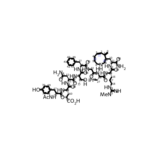 C=C1/C=C\C=C/CN/C=C\1C[C@H](NC(=O)[C@H](CCCNC(=N)NC)NC(=O)[C@H](CC(C)C)NC(=O)CNC(=O)[C@H](Cc1ccccc1)NC(=O)[C@@H](NC(=O)[C@H](CC(N)=O)NC(=O)[C@H](CCC(=O)O)NC(=O)[C@@H](Cc1ccc(O)cc1)NC(C)=O)[C@@H](C)O)C(N)=O